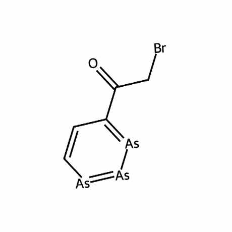 O=C(CBr)C1=[As][As]=[As]C=C1